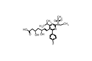 CCN(c1nc(-c2ccc(F)cc2)c(/C=C/[C@@H](O)C[C@@H](O)CC(=O)O)c(C(C)C)n1)S(C)(=O)=O